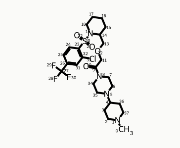 CN1CCC(N2CCN(C(=O)COCC3CCCCN3S(=O)(=O)c3ccc(C(F)(F)F)cc3Cl)CC2)CC1